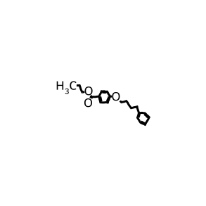 CCCOC(=O)c1ccc(OCCCCc2ccccc2)cc1